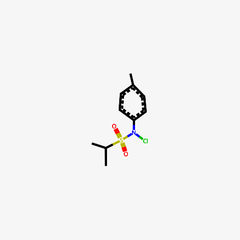 Cc1ccc(N(Cl)S(=O)(=O)C(C)C)cc1